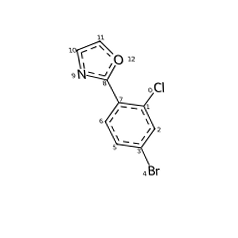 Clc1cc(Br)ccc1-c1ncco1